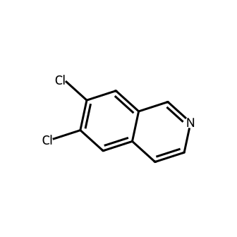 Clc1cc2ccncc2cc1Cl